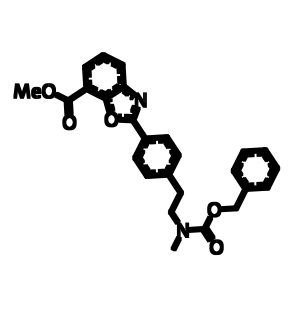 COC(=O)c1cccc2nc(-c3ccc(CCN(C)C(=O)OCc4ccccc4)cc3)oc12